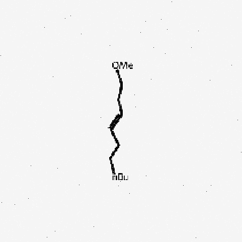 [CH2]OCCC=CCCCCCC